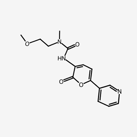 COCCN(C)C(=O)Nc1ccc(-c2cccnc2)oc1=O